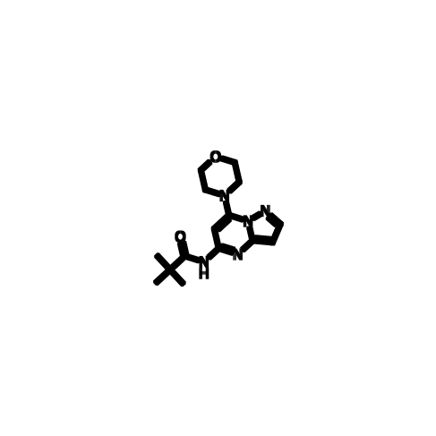 CC(C)(C)C(=O)Nc1cc(N2CCOCC2)n2nccc2n1